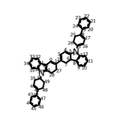 C1=C(C2=CC=C3C(C2)c2ccccc2N3C2=CC=C(c3ccccc3)CC2)CCc2c1c1ccccc1n2C1CC=C(c2ccccc2)CC1